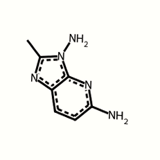 Cc1nc2ccc(N)nc2n1N